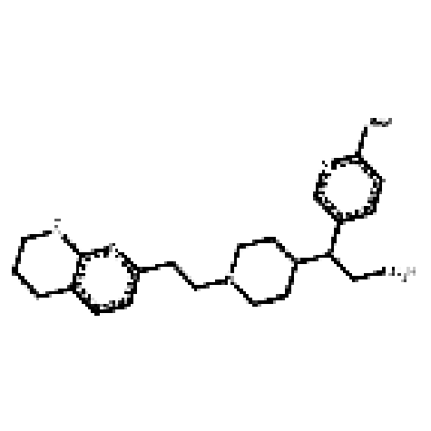 COc1ccc(C(CC(=O)O)C2CCN(CCc3ccc4c(n3)NCCC4)CC2)cn1